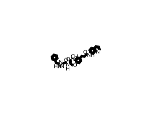 CN1C(=O)C(NC(=O)c2n[nH]c(Cc3ccccc3)n2)COc2ccc(CCC(=O)Nc3ccc4cccnc4c3)cc21